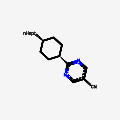 CCCCCCC[C@H]1CC[C@H](c2ncc(C#N)cn2)CC1